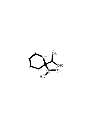 CC([C]=O)C1([SiH](C)C)CCCCO1